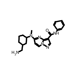 CN(c1ccn2ncc(C(=O)Nc3ccccc3)c2n1)C1CCCC(CN)C1